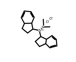 C[Si](C)=[Zr+2]([CH]1CCC2C=CC=CC21)[CH]1CCC2C=CC=CC21.[Cl-].[Cl-]